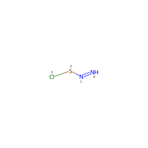 N=NSCl